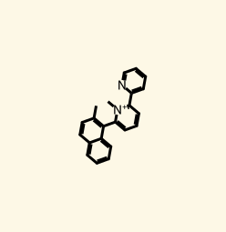 Cc1ccc2ccccc2c1-c1cccc(-c2ccccn2)[n+]1C